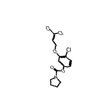 O=C(Oc1ccc(Cl)c(OCC=C(Cl)Cl)c1)N1CCCC1